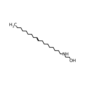 CCCCCCCC/C=C/CCCCCCCCNCCO